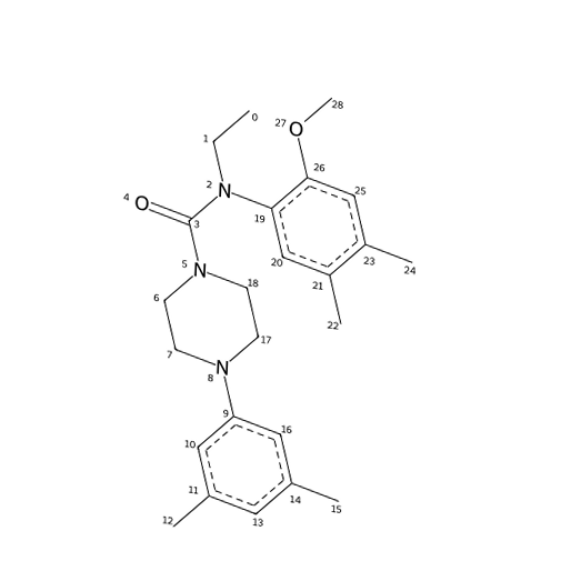 CCN(C(=O)N1CCN(c2cc(C)cc(C)c2)CC1)c1cc(C)c(C)cc1OC